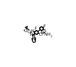 COC1(COc2nc(N3CC4CCC(C3)N4)c3cc(Cl)c(-c4ccc(F)c5sc(N)nc45)c(F)c3n2)CC1